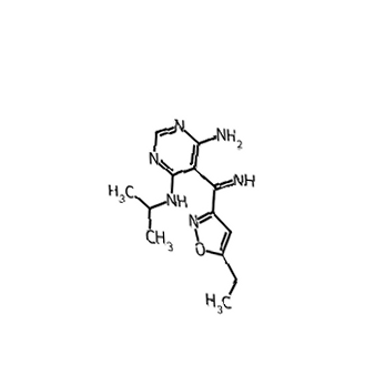 CCc1cc(C(=N)c2c(N)ncnc2NC(C)C)no1